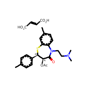 CC(=O)O[C@@H]1C(=O)N(CCN(C)C)c2ccc(C)cc2S[C@@H]1c1ccc(C)cc1.O=C(O)C=CC(=O)O